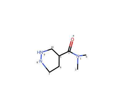 CN(C)C(=O)C1CC[N]NC1